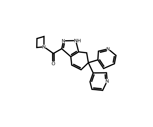 O=C(c1n[nH]c2c1C=CC(c1cccnc1)(c1cccnc1)C2)N1CCC1